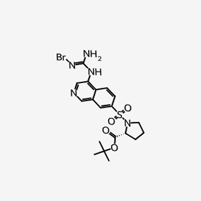 CC(C)(C)OC(=O)[C@H]1CCCN1S(=O)(=O)c1ccc2c(NC(N)=NBr)cncc2c1